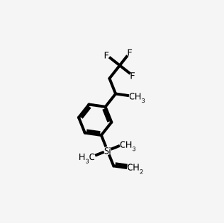 C=C[Si](C)(C)c1cccc(C(C)CC(F)(F)F)c1